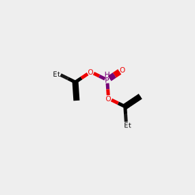 C=C(CC)O[PH](=O)OC(=C)CC